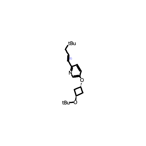 CC(C)(C)C/C=C/c1ccc(O[C@H]2C[C@H](OC(C)(C)C)C2)cn1